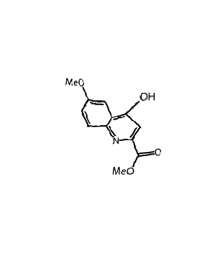 COC(=O)c1cc(O)c2cc(OC)ccc2n1